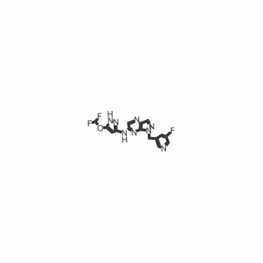 Fc1cncc(Cn2ncc3ncc(Nc4cc(OC(F)F)[nH]n4)nc32)c1